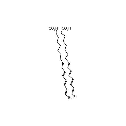 CCC=CC=CC=CC=CCCCCCCCC(=O)O.CCC=CC=CC=CC=CCCCCCCCC(=O)O